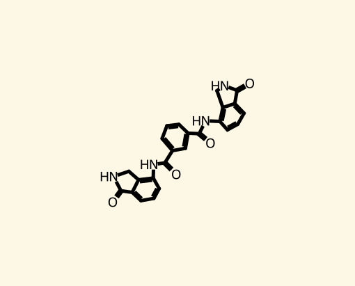 O=C(Nc1cccc2c1CNC2=O)c1cccc(C(=O)Nc2cccc3c2CNC3=O)c1